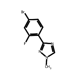 Cn1cnc(-c2ccc(Br)cc2F)n1